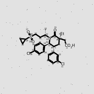 CC[C@]1(CC(=O)O)C[C@H](c2cccc(Cl)c2)[C@@H](c2ccc(Cl)cc2)N([C@@H](C)CCS(=O)(=O)C2CC2)C1=O